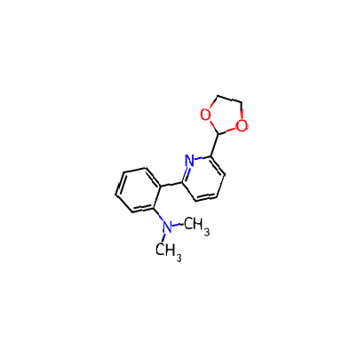 CN(C)c1ccccc1-c1cccc(C2OCCO2)n1